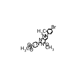 COc1nc(N2CCN(S(C)(=O)=O)CC2)nc2nn(-c3ccc(Br)cc3C)cc12